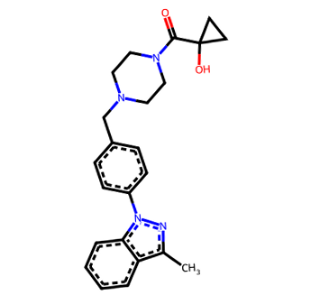 Cc1nn(-c2ccc(CN3CCN(C(=O)C4(O)CC4)CC3)cc2)c2ccccc12